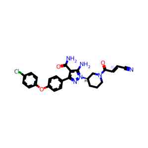 N#C/C=C/C(=O)N1CCC[C@@H](n2nc(-c3ccc(Oc4ccc(Cl)cc4)cc3)c(C(N)=O)c2N)C1